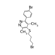 Cc1nnc(-c2ccc(Br)cc2)c(C)c1SCCCCBr